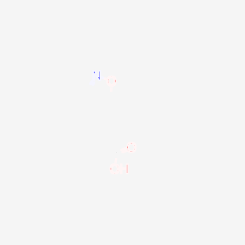 O=C(O)c1ccccc1-c1ccc2ccccc2c1-c1ccno1